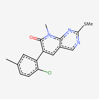 CSc1ncc2cc(-c3cc(C)ccc3Cl)c(=O)n(C)c2n1